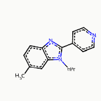 CCCn1c(-c2ccncc2)nc2ccc(C)cc21